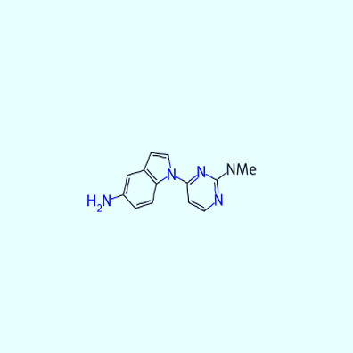 CNc1nccc(-n2ccc3cc(N)ccc32)n1